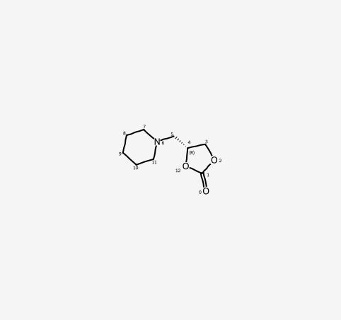 O=C1OC[C@@H](CN2CCCCC2)O1